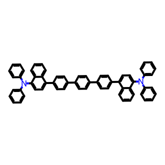 c1ccc(N(c2ccccc2)c2ccc(-c3ccc(-c4ccc(-c5ccc(-c6ccc(N(c7ccccc7)c7ccccc7)c7ccccc67)cc5)cc4)cc3)c3ccccc23)cc1